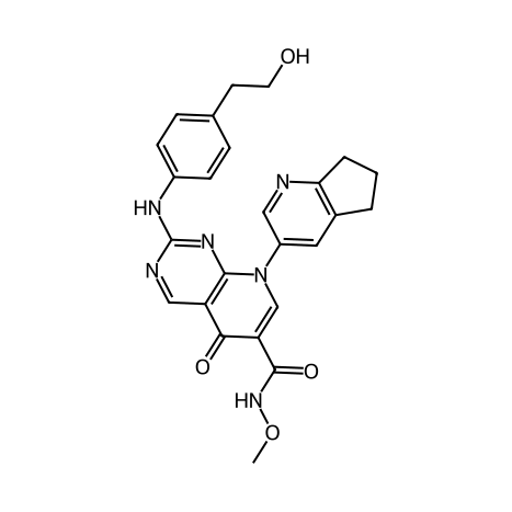 CONC(=O)c1cn(-c2cnc3c(c2)CCC3)c2nc(Nc3ccc(CCO)cc3)ncc2c1=O